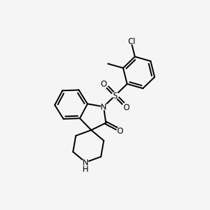 Cc1c(Cl)cccc1S(=O)(=O)N1C(=O)C2(CCNCC2)c2ccccc21